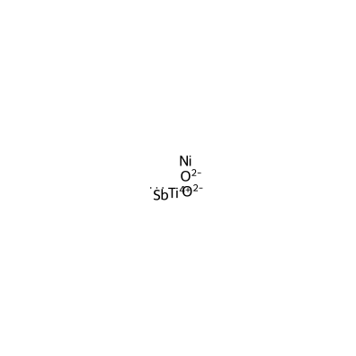 [Ni].[O-2].[O-2].[Sb].[Ti+4]